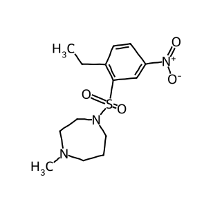 CCc1ccc([N+](=O)[O-])cc1S(=O)(=O)N1CCCN(C)CC1